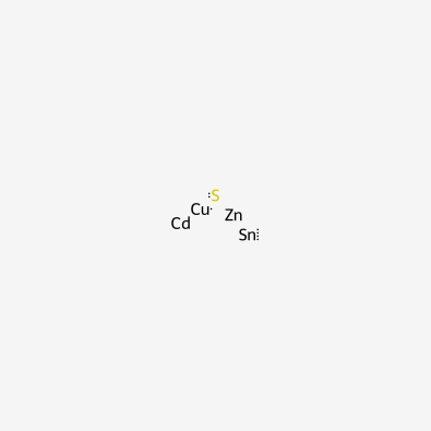 [Cd].[Cu].[S].[Sn].[Zn]